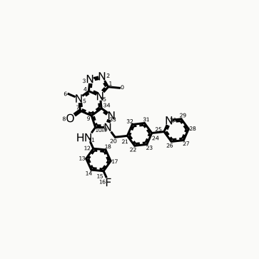 Cc1nnc2n(C)c(=O)c3c(Nc4ccc(F)cc4)n(Cc4ccc(-c5ccccn5)cc4)nc3n12